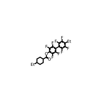 CCc1c(F)c(F)c(-c2c(F)c(F)c(OC(=O)C3CCC(CC)CC3)c(F)c2F)c(F)c1F